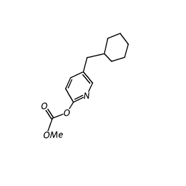 COC(=O)Oc1ccc(CC2CCCCC2)cn1